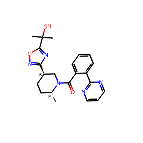 C[C@@H]1CC[C@@H](c2noc(C(C)(C)O)n2)CN1C(=O)c1ccccc1-c1ncccn1